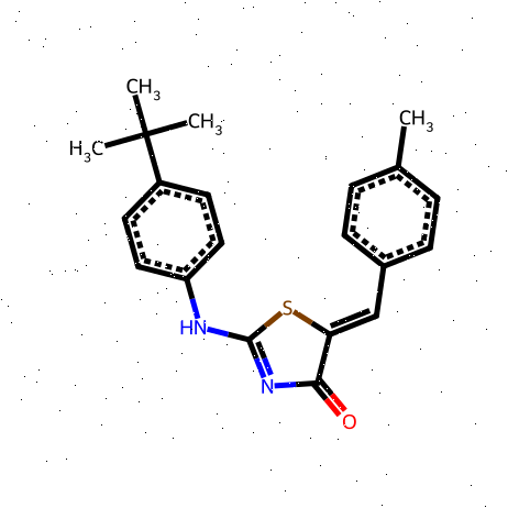 Cc1ccc(/C=C2\SC(Nc3ccc(C(C)(C)C)cc3)=NC2=O)cc1